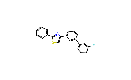 Fc1cccc(-c2cccc(-c3csc(-c4ccccc4)n3)c2)c1